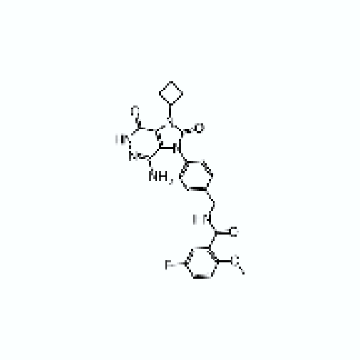 COc1ccc(F)cc1C(=O)NCc1ccc(-n2c(=O)n(C3CCC3)c3c(=O)[nH]nc(N)c32)cc1